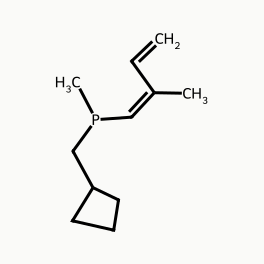 C=C/C(C)=C\P(C)CC1CCC1